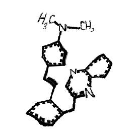 CN(C)c1ccc(C=Cc2ccccc2Cc2cnc3ccccc3n2)cc1